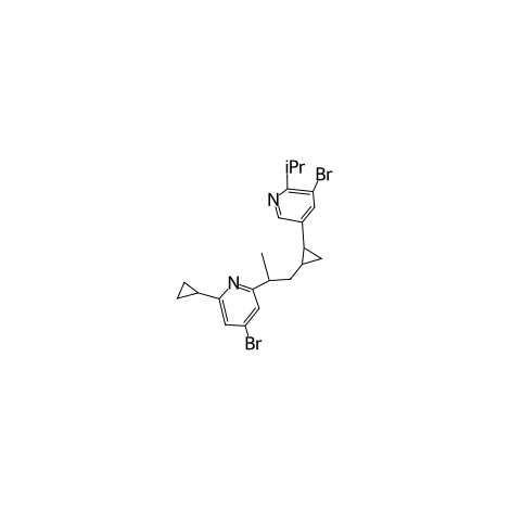 CC(C)c1ncc(C2CC2CC(C)c2cc(Br)cc(C3CC3)n2)cc1Br